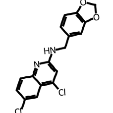 Clc1ccc2nc(NCc3ccc4c(c3)OCO4)cc(Cl)c2c1